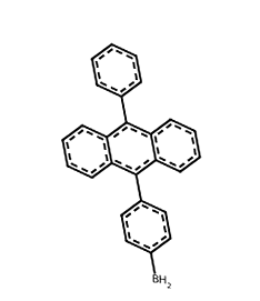 Bc1ccc(-c2c3ccccc3c(-c3ccccc3)c3ccccc23)cc1